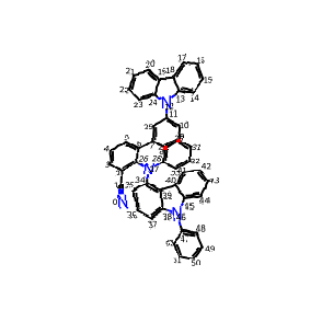 N#Cc1cccc(-c2cccc(-n3c4ccccc4c4ccccc43)c2)c1N(c1ccccc1)c1cccc2c1c1ccccc1n2-c1ccccc1